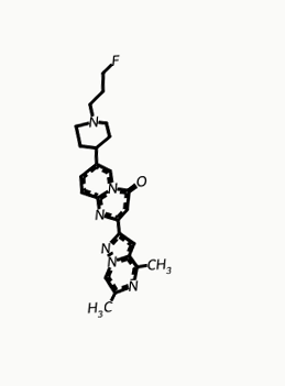 Cc1cn2nc(-c3cc(=O)n4cc(C5CCN(CCCF)CC5)ccc4n3)cc2c(C)n1